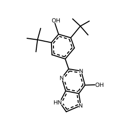 CC(C)(C)c1cc(-c2nc(O)c3nc[nH]c3n2)cc(C(C)(C)C)c1O